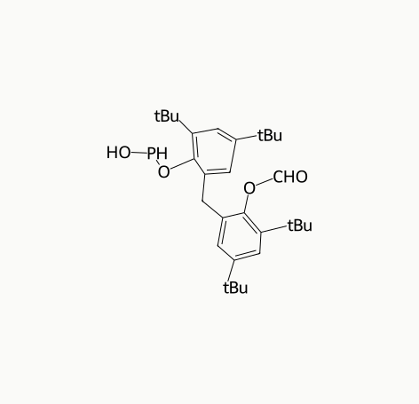 CC(C)(C)c1cc(Cc2cc(C(C)(C)C)cc(C(C)(C)C)c2OPO)c(OC=O)c(C(C)(C)C)c1